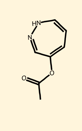 CC(=O)OC1=CC=CNN=C1